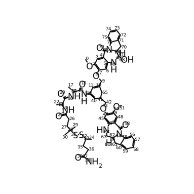 COc1cc2c(cc1OCC1=CC(NC(=O)[C@H](C)NC(=O)[C@H](C)NC(=O)CCC(C)(C)SSC(C)CCC(N)=O)=CC(COc3cc4c(cc3OC)C(=O)N3c5ccccc5C[C@H]3CN4)C1)NC(O)[C@@H]1Cc3ccccc3N1C2=O